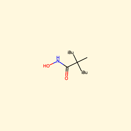 CCC(C)C(C)(C(=O)NO)C(C)CC